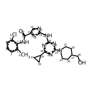 Cc1cccc(Cl)c1NC(=O)c1cnc(Nc2nc(C3CC3)nc(N3CCC(CO)CC3)n2)s1